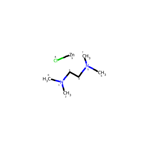 CN(C)CCN(C)C.[Cl][Zn]